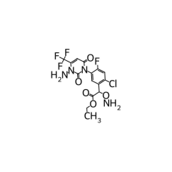 CCOC(=O)C(ON)c1cc(-n2c(=O)cc(C(F)(F)F)n(N)c2=O)c(F)cc1Cl